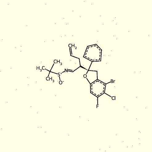 C=CCC(/C=N/[S+]([O-])C(C)(C)C)[C@@]1(c2ccccc2)Cc2c(cc(F)c(Cl)c2Br)O1